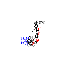 CCCCCc1ccc(-c2cc3ccc(OC4CCC(OC(=O)C(C)(CC(C)(C)N)C(C)(C)N)C4C(F)(F)F)cc3oc2=O)c(CC)c1